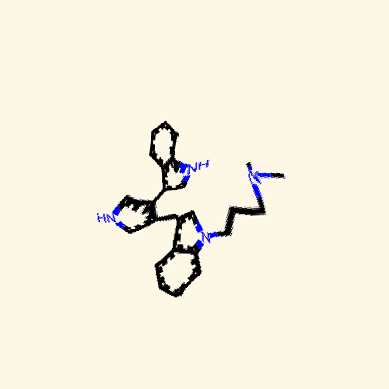 CN(C)CCCn1cc(-c2c[nH]cc2-c2c[nH]c3ccccc23)c2ccccc21